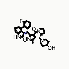 Cc1cc(C(=O)N2CCC[C@H]2CN2CCC(O)CC2)c(/C=C2\C(=O)Nc3cccc(-c4ccccc4F)c32)[nH]1